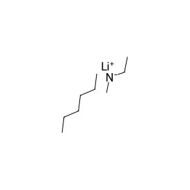 CCCCCC.CC[N-]C.[Li+]